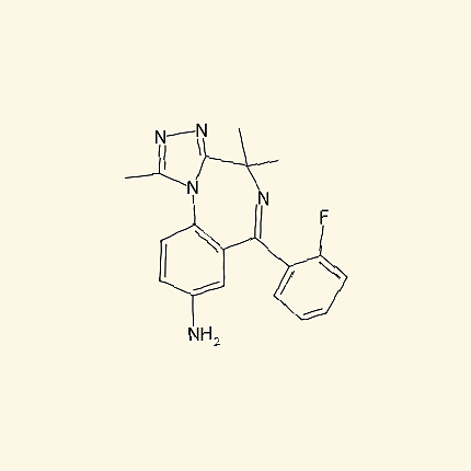 Cc1nnc2n1-c1ccc(N)cc1C(c1ccccc1F)=NC2(C)C